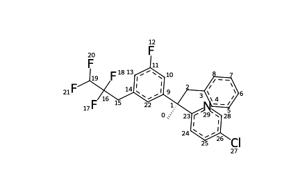 C[C@@](Cc1ccccc1)(c1cc(F)cc(CC(F)(F)C(F)F)c1)c1ccc(Cl)cn1